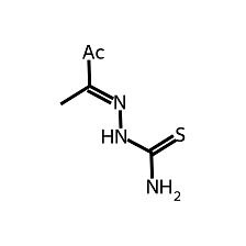 CC(=O)C(C)=NNC(N)=S